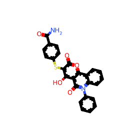 NC(=O)c1ccc(Sc2c(O)c3c(=O)n(-c4ccccc4)c4ccccc4c3oc2=O)cc1